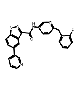 O=C(Nc1ccc(Cc2ccccc2F)nc1)c1n[nH]c2ccc(-c3cccnc3)cc12